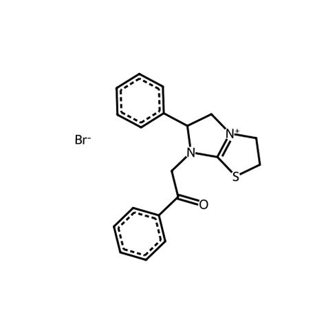 O=C(CN1C2=[N+](CCS2)CC1c1ccccc1)c1ccccc1.[Br-]